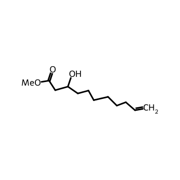 C=CCCCCCCC(O)CC(=O)OC